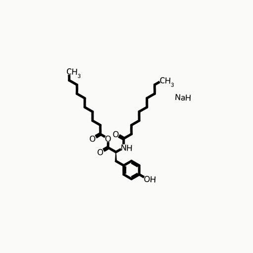 CCCCCCCCCC(=O)N[C@@H](Cc1ccc(O)cc1)C(=O)OC(=O)CCCCCCCCC.[NaH]